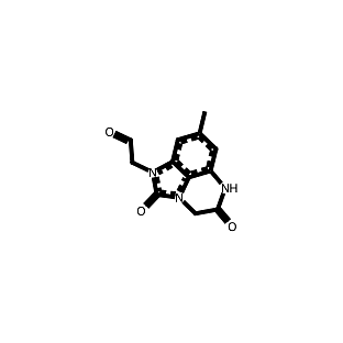 Cc1cc2c3c(c1)n(CC=O)c(=O)n3CC(=O)N2